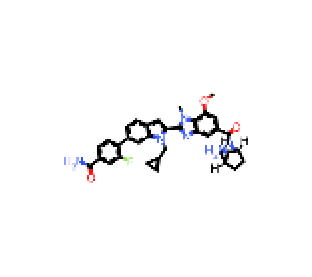 COc1cc(C(=O)N2C[C@H]3CC[C@@H]2[C@@H]3N)cc2nc(-c3cc4ccc(-c5ccc(C(N)=O)cc5F)cc4n3CC3CC3)n(C)c12